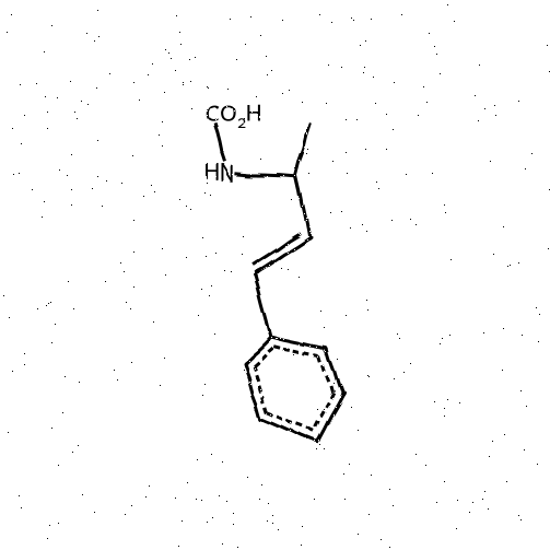 CC(C=Cc1ccccc1)NC(=O)O